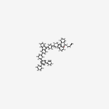 C#C/C=C\C=C(/C)c1ccccc1-n1c2c(c3ccccc31)C=C(c1ccc(-n3c4ccccc4c4cc(-c5cccc(-c6nc(-c7ccccc7)nc(-c7ccccc7)n6)c5)ccc43)cc1)CC2